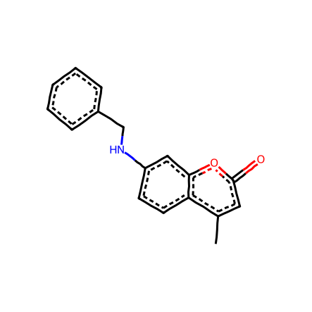 Cc1cc(=O)oc2cc(NCc3ccccc3)ccc12